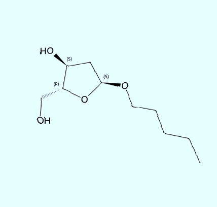 CCCCCO[C@@H]1C[C@H](O)[C@@H](CO)O1